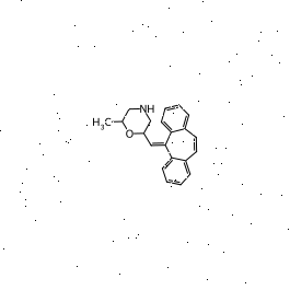 CC1CNCC(C=C2c3ccccc3C=Cc3ccccc32)O1